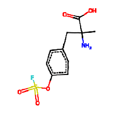 CC(N)(Cc1ccc(OS(=O)(=O)F)cc1)C(=O)O